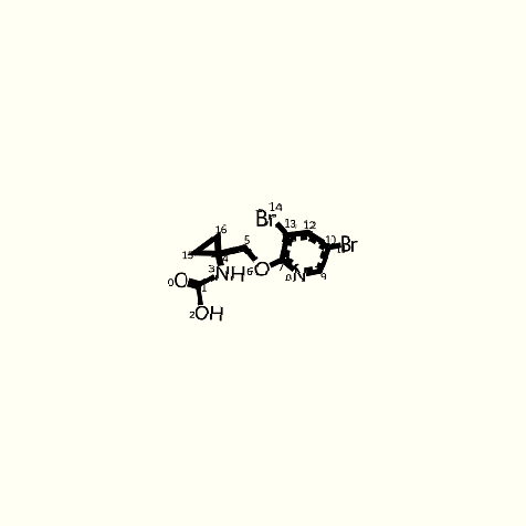 O=C(O)NC1(COc2ncc(Br)cc2Br)CC1